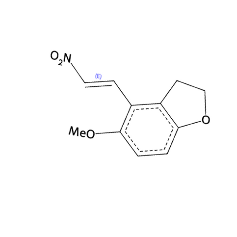 COc1ccc2c(c1/C=C/[N+](=O)[O-])CCO2